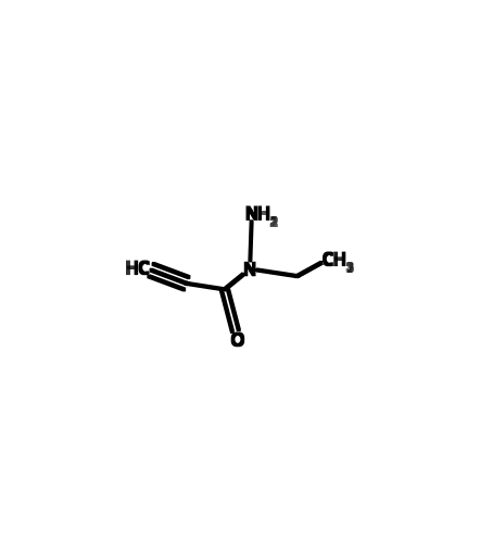 C#CC(=O)N(N)CC